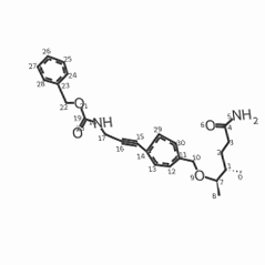 C[C@@H](CCC(N)=O)[C@@H](C)OCc1ccc(C#CCNC(=O)OCc2ccccc2)cc1